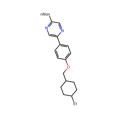 CCCCCCCCCc1cnc(-c2ccc(OCC3CCC(CC)CC3)cc2)cn1